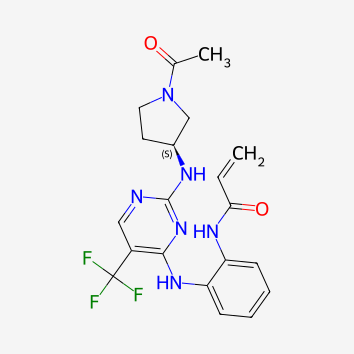 C=CC(=O)Nc1ccccc1Nc1nc(N[C@H]2CCN(C(C)=O)C2)ncc1C(F)(F)F